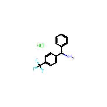 Cl.NC(c1ccccc1)c1ccc(C(F)(F)F)cc1